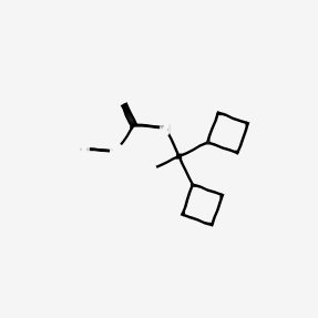 CC(C)(C)OC(=O)NC(C(=O)O)(C1CCC1)C1CCC1